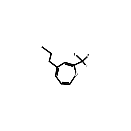 CCCC1=CC=COC(C(F)(F)F)=C1